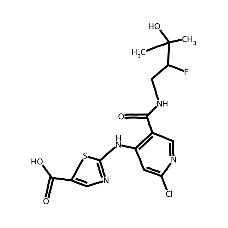 CC(C)(O)C(F)CNC(=O)c1cnc(Cl)cc1Nc1ncc(C(=O)O)s1